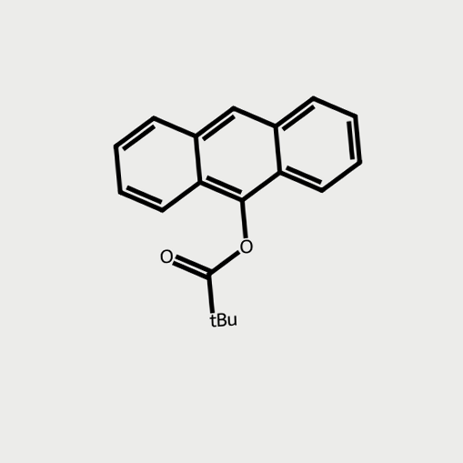 CC(C)(C)C(=O)Oc1c2ccccc2cc2ccccc12